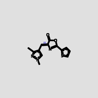 Cc1nn(C)cc1/C=C1\N=C(c2cccs2)OC1=O